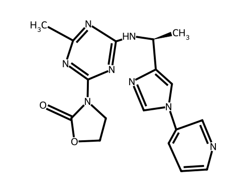 Cc1nc(N[C@@H](C)c2cn(-c3cccnc3)cn2)nc(N2CCOC2=O)n1